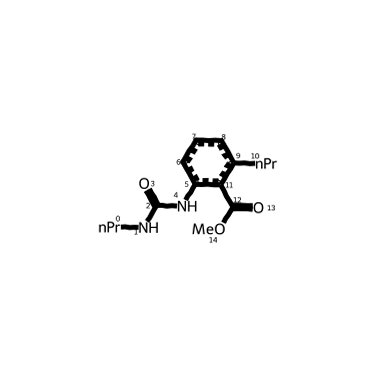 CCCNC(=O)Nc1cccc(CCC)c1C(=O)OC